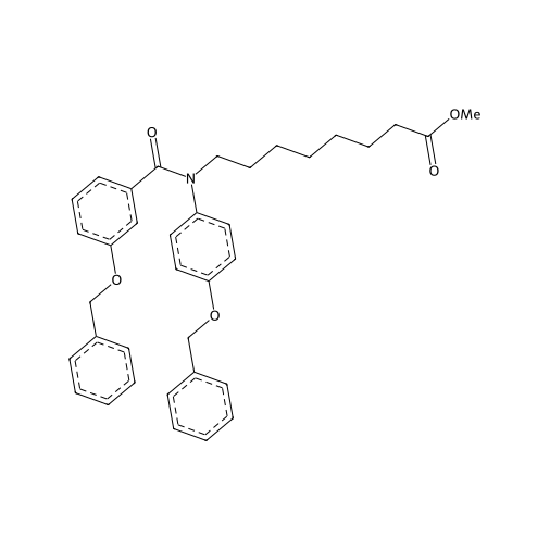 COC(=O)CCCCCCCN(C(=O)c1cccc(OCc2ccccc2)c1)c1ccc(OCc2ccccc2)cc1